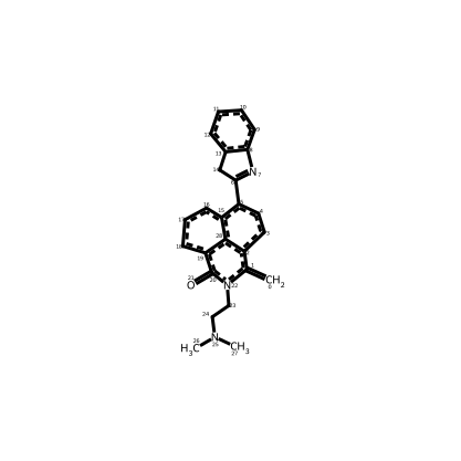 C=c1c2ccc(C3=Nc4ccccc4C3)c3cccc(c(=O)n1CCN(C)C)c32